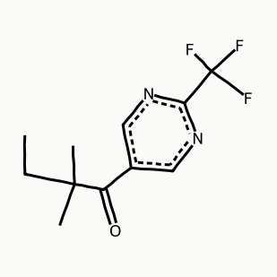 CCC(C)(C)C(=O)c1cnc(C(F)(F)F)nc1